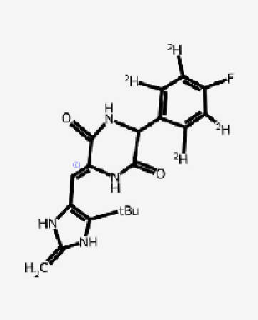 [2H]c1c([2H])c(C2NC(=O)/C(=C/C3=C(C(C)(C)C)NC(=C)N3)NC2=O)c([2H])c([2H])c1F